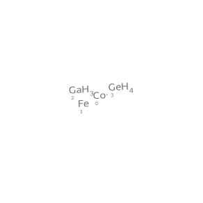 [Co].[Fe].[GaH3].[GeH4]